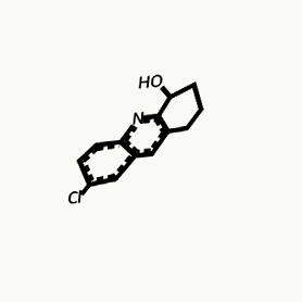 OC1CCCc2cc3cc(Cl)ccc3nc21